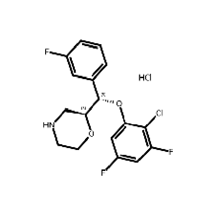 Cl.Fc1cccc([C@H](Oc2cc(F)cc(F)c2Cl)[C@@H]2CNCCO2)c1